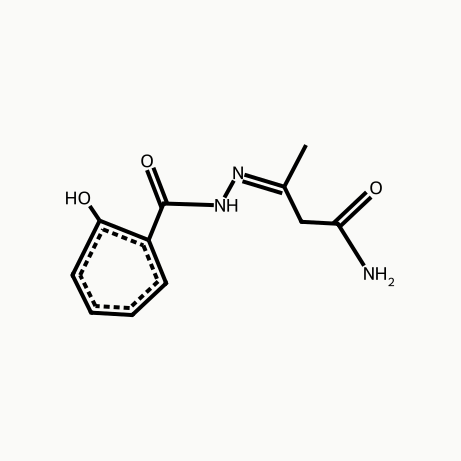 CC(CC(N)=O)=NNC(=O)c1ccccc1O